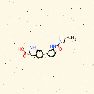 CCCNC(=O)Nc1cccc(-c2ccc(C[C@H](N)C(=O)O)cc2)c1